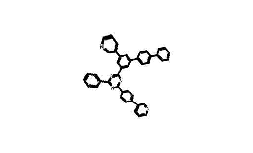 c1ccc(-c2ccc(-c3cc(-c4cccnc4)cc(-c4nc(-c5ccccc5)nc(-c5ccc(-c6cccnc6)cc5)n4)c3)cc2)cc1